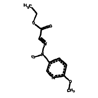 CCOC(=O)C=NN(Cl)c1ccc(OC)nc1